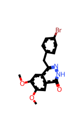 COc1cc2c(Cc3ccc(Br)cc3)n[nH]c(=O)c2cc1OC